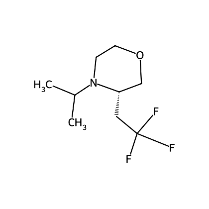 CC(C)N1CCOC[C@@H]1CC(F)(F)F